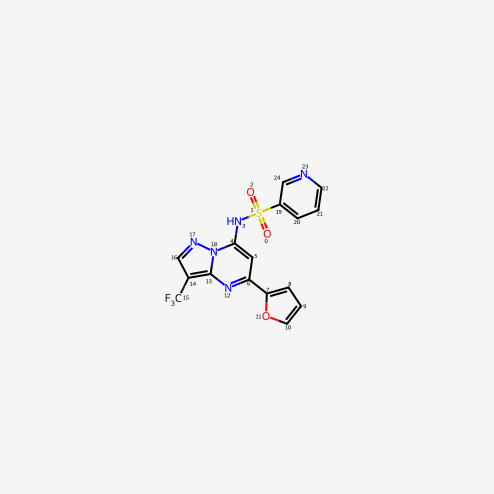 O=S(=O)(Nc1cc(-c2ccco2)nc2c(C(F)(F)F)cnn12)c1cccnc1